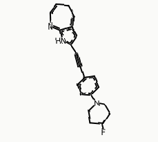 FC1CCN(c2ccc(C#Cc3cc4c([nH]3)=NC=CCC=4)cc2)CC1